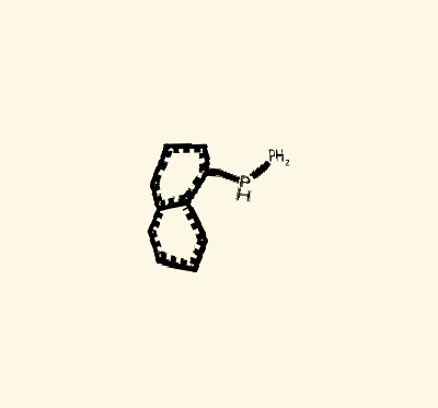 PPc1cccc2ccccc12